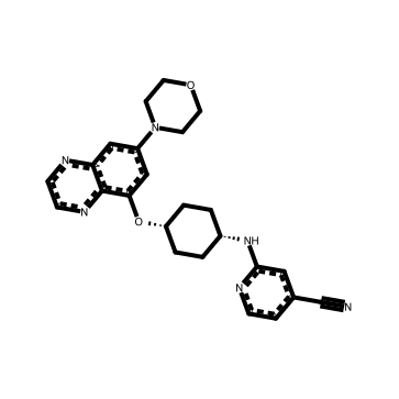 N#Cc1ccnc(N[C@H]2CC[C@@H](Oc3cc(N4CCOCC4)cc4nccnc34)CC2)c1